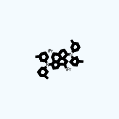 Cc1cccc(N(c2cccc(C)c2)c2ccc3c(C(C)C)cc4c(N(c5cccc(C)c5)c5cccc(C)c5)ccc5c(C(C)C)cc2c3c54)c1